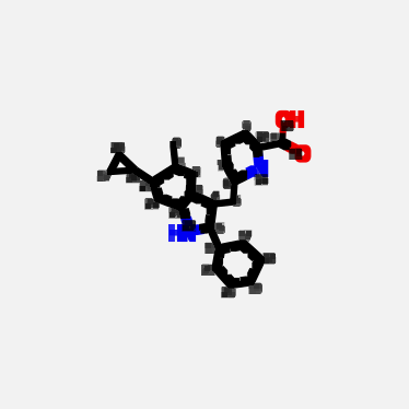 Cc1cc2c(Cc3cccc(C(=O)O)n3)c(-c3ccccc3)[nH]c2cc1C1CC1